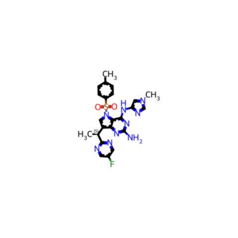 Cc1ccc(S(=O)(=O)n2cc([C@H](C)c3ncc(F)cn3)c3nc(N)nc(Nc4cn(C)cn4)c32)cc1